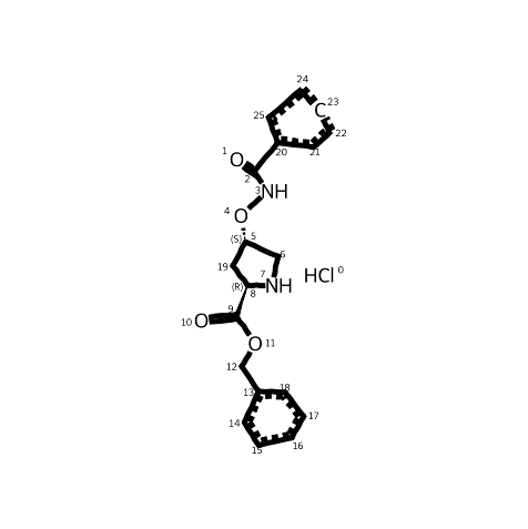 Cl.O=C(NO[C@@H]1CN[C@@H](C(=O)OCc2ccccc2)C1)c1ccccc1